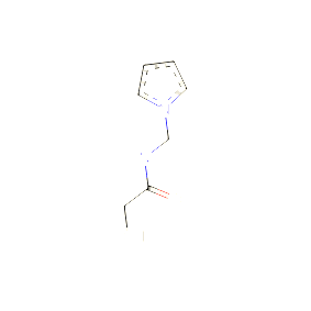 CCC(=O)NCn1cccc1